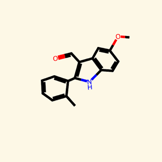 COc1ccc2[nH]c(-c3ccccc3C)c(C=O)c2c1